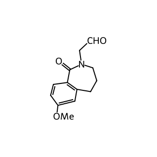 COc1ccc2c(c1)CCCN(CC=O)C2=O